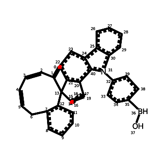 C=C1/C=C\C=C/Cc2ccccc2C12c1ccccc1-c1c2ccc2c3ccccc3n(-c3ccc(BO)cc3)c12